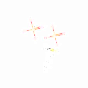 O=P([O-])([O-])[O-].O=P([O-])([O-])[O-].[Ni+2].[Ni+2].[Ni+2].[S]=[Fe]